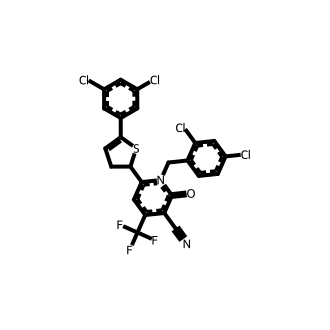 N#Cc1c(C(F)(F)F)cc(C2CC=C(c3cc(Cl)cc(Cl)c3)S2)n(Cc2ccc(Cl)cc2Cl)c1=O